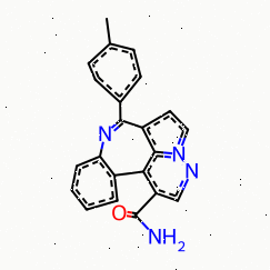 Cc1ccc(C2=Nc3ccccc3-c3c(C(N)=O)cnn4ccc2c34)cc1